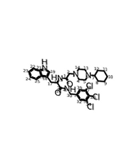 O=C(CN1CCN(C2CCCCC2)CC1)NC(Cc1c[nH]c2ccccc12)C(=O)NCc1cc(Cl)c(Cl)c(Cl)c1